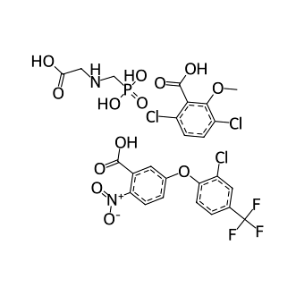 COc1c(Cl)ccc(Cl)c1C(=O)O.O=C(O)CNCP(=O)(O)O.O=C(O)c1cc(Oc2ccc(C(F)(F)F)cc2Cl)ccc1[N+](=O)[O-]